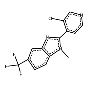 Cn1c(-c2ccncc2Cl)nc2cc(C(F)(F)F)ccc21